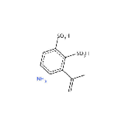 C=C(C)c1cccc(S(=O)(=O)O)c1S(=O)(=O)O.N